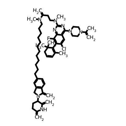 C=C1CCC(N2Cc3cc(CCCCCCCCCCCCN(C)C(=C)CCN(C)c4nc(N5CCN(C(=C)C)CC5)c5cc(Cl)c(C6=C(C)C=CCC6(C)C)c(F)c5n4)ccc3C2=C)C(=C)N1